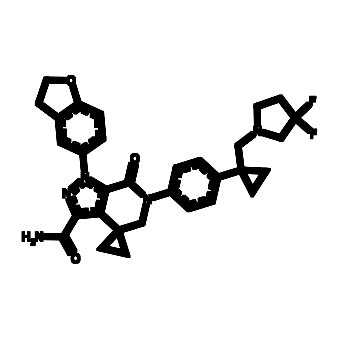 NC(=O)c1nn(-c2ccc3c(c2)CCO3)c2c1C1(CC1)CN(c1ccc(C3(CN4CCC(F)(F)C4)CC3)cc1)C2=O